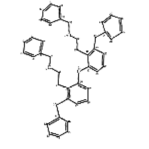 c1ccc(COCCc2c(Cc3ccccc3)cccc2Oc2cccc(Cc3ccccc3)c2CCOCc2ccccc2)cc1